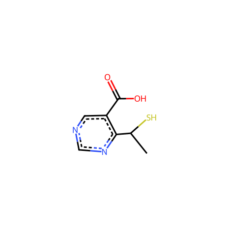 CC(S)c1ncncc1C(=O)O